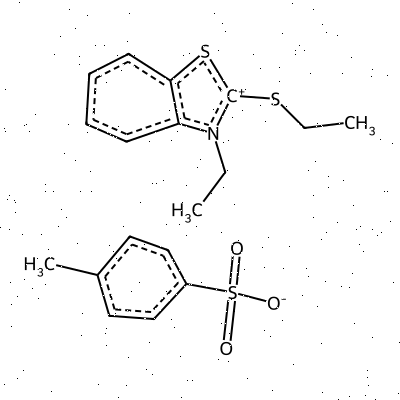 CCS[c+]1sc2ccccc2n1CC.Cc1ccc(S(=O)(=O)[O-])cc1